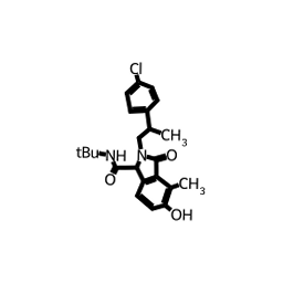 Cc1c(O)ccc2c1C(=O)N(CC(C)c1ccc(Cl)cc1)C2C(=O)NC(C)(C)C